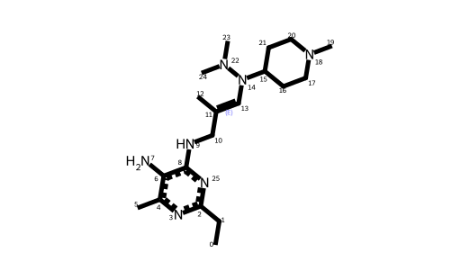 CCc1nc(C)c(N)c(NC/C(C)=C/N(C2CCN(C)CC2)N(C)C)n1